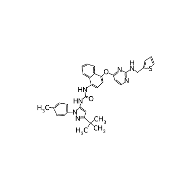 Cc1ccc(-n2nc(C(C)(C)C)cc2NC(=O)Nc2ccc(Oc3ccnc(NCc4cccs4)n3)c3ccccc23)cc1